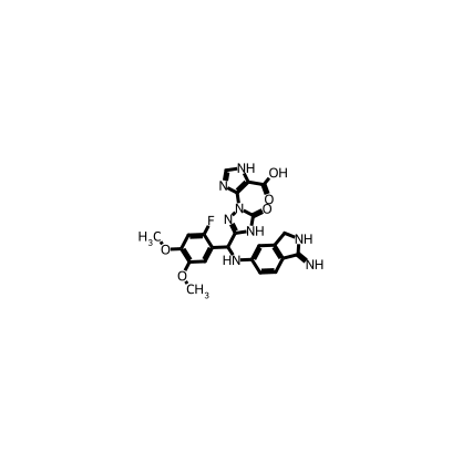 COc1cc(F)c(C(Nc2ccc3c(c2)CNC3=N)c2nn(-c3nc[nH]c3C(=O)O)c(=O)[nH]2)cc1OC